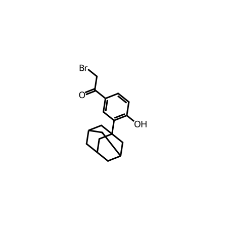 O=C(CBr)c1ccc(O)c(C23CC4CC(CC(C4)C2)C3)c1